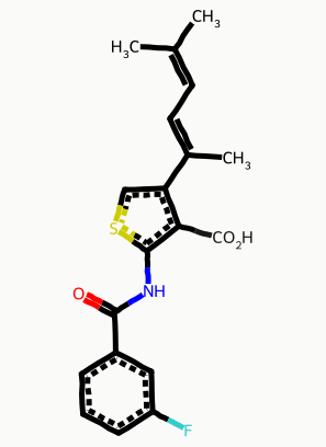 CC(C)=C/C=C(\C)c1csc(NC(=O)c2cccc(F)c2)c1C(=O)O